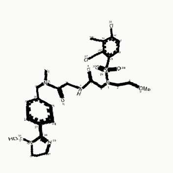 COCCN(CC(=O)NCC(=O)N(C)Cc1ccc(C2=NCCN2C(=O)O)cc1)S(=O)(=O)c1ccc(Cl)c(C)c1Cl